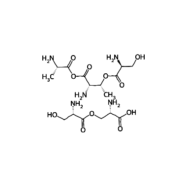 C[C@H](N)C(=O)OC(=O)[C@@H](N)[C@@H](C)OC(=O)[C@@H](N)CO.N[C@@H](COC(=O)[C@@H](N)CO)C(=O)O